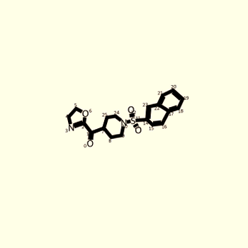 O=C(C1=NCCO1)C1CCN(S(=O)(=O)c2ccc3ccccc3c2)CC1